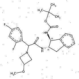 COC1CN(C(C(=O)N[C@H]2Cc3ccccc3[C@@H]2NC(=O)OC(C)(C)C)c2ccc(F)cc2F)C1